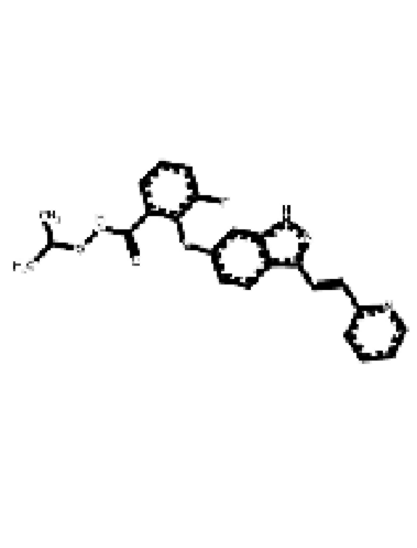 CC(C)ONC(=O)c1cccc(F)c1Sc1ccc2c(/C=C/c3ccccn3)n[nH]c2c1